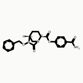 NC(=O)c1ccc(OC(=O)[C@@H]2CC[C@@H]3CN2C(=O)N3OCc2ccccc2)cc1